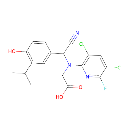 CC(C)c1cc(C(C#N)N(CC(=O)O)c2nc(F)c(Cl)cc2Cl)ccc1O